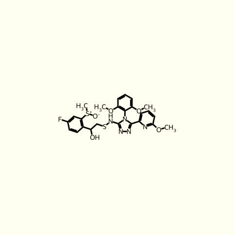 COc1cccc(-c2nnc(NSCC(O)c3ccc(F)cc3[S+](C)[O-])n2-c2c(OC)cccc2OC)n1